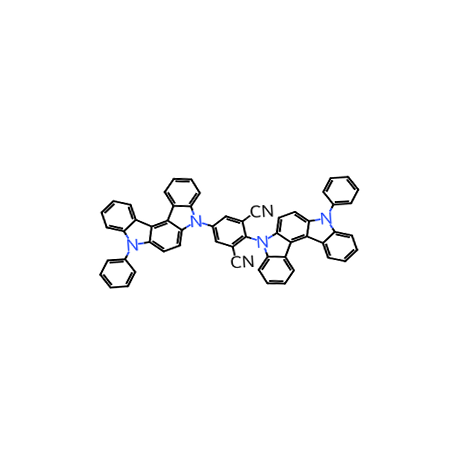 N#Cc1cc(-n2c3ccccc3c3c4c5ccccc5n(-c5ccccc5)c4ccc32)cc(C#N)c1-n1c2ccccc2c2c3c4ccccc4n(-c4ccccc4)c3ccc21